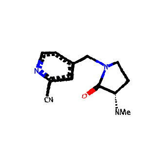 CN[C@H]1CCN(Cc2ccnc(C#N)c2)C1=O